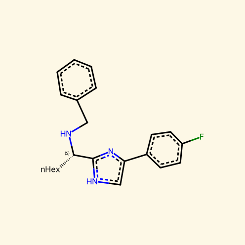 CCCCCC[C@H](NCc1ccccc1)c1nc(-c2ccc(F)cc2)c[nH]1